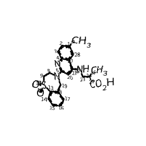 Cc1ccc2nc(N3CCS(=O)(=O)c4ccccc4C3)cc(NCC(C)C(=O)O)c2c1